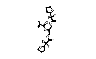 C=C(C)C(=O)OC(COC(=O)C(F)(F)C1CCCO1)COC(=O)C(F)(F)C1CCCO1